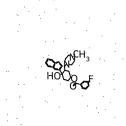 CN1CCN(CC2CC(OC(=O)c3cccc(F)c3)CCC2(O)c2ccc3ccccc3c2)CC1